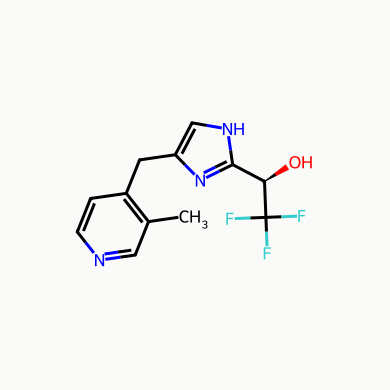 Cc1cnccc1Cc1c[nH]c([C@@H](O)C(F)(F)F)n1